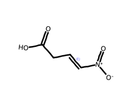 O=C(O)C/C=C/[N+](=O)[O-]